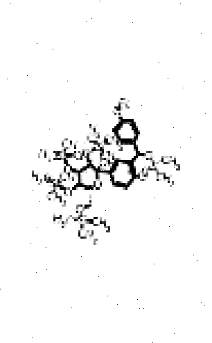 CCOc1ccc(C(O[Si](C)(C)C)c2cc([C@]3(O)O[C@H](CO[Si](C)(C)C)C(O[Si](C)(C)C)C(O[Si](C)(C)C)C3O[Si](C)(C)C)ccc2Cl)cc1